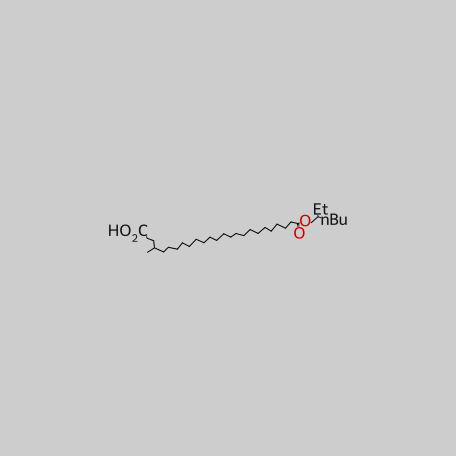 CCCCC(CC)COC(=O)CCCCCCCCCCCCCCCCCCCCC(C)CCC(=O)O